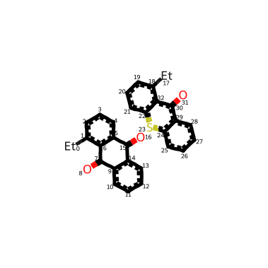 CCc1cccc2c1C(=O)c1ccccc1C2=O.CCc1cccc2sc3ccccc3c(=O)c12